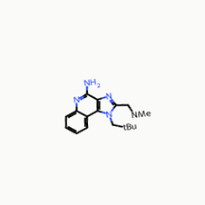 CNCc1nc2c(N)nc3ccccc3c2n1CC(C)(C)C